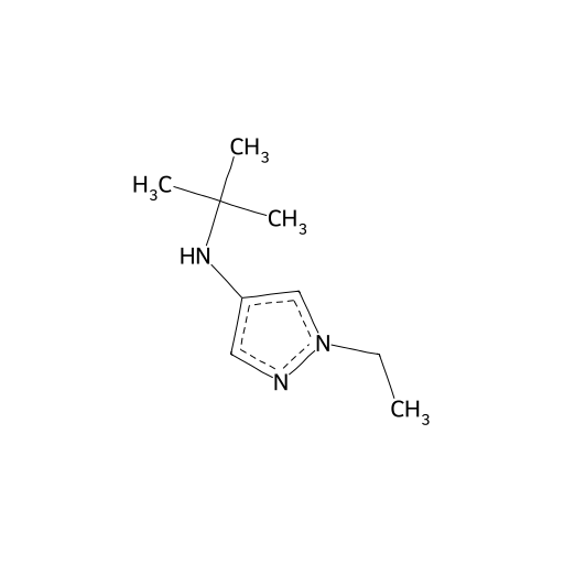 CCn1cc(NC(C)(C)C)cn1